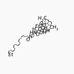 CC/C=C\C/C=C\C/C=C\C/C=C\C/C=C\C/C=C\CCC(=O)N1CCC(NC(=O)C[C@H](O)C[C@@H](O)CC[C@@H]2C3C(=C[C@H](C)CC3OC(=O)C(C)(C)CC)C=C[C@@H]2C)C1